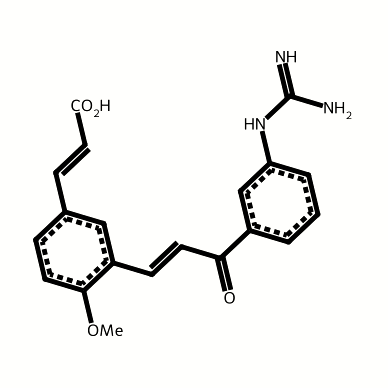 COc1ccc(C=CC(=O)O)cc1C=CC(=O)c1cccc(NC(=N)N)c1